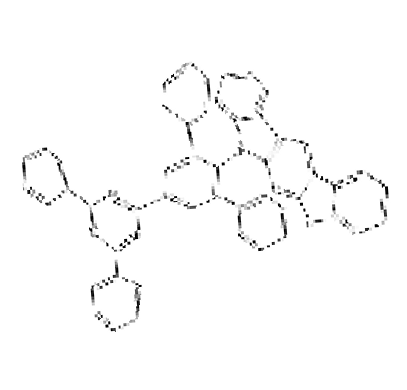 C1=CCC(c2cc(-c3nc(-c4ccccc4)nc(-c4ccccc4)n3)cc(-c3ccccc3)c2-n2c3ccccc3c3cc4c(cc32)oc2ccccc24)C=C1